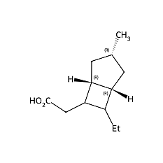 CCC1C(CC(=O)O)[C@@H]2C[C@H](C)C[C@H]12